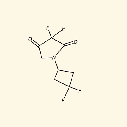 O=C1CN(C2CC(F)(F)C2)C(=O)C1(F)F